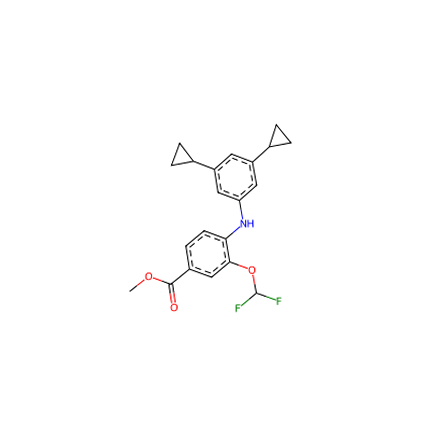 COC(=O)c1ccc(Nc2cc(C3CC3)cc(C3CC3)c2)c(OC(F)F)c1